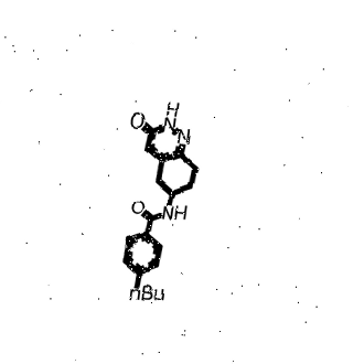 CCCCc1ccc(C(=O)NC2CCc3n[nH]c(=O)cc3C2)cc1